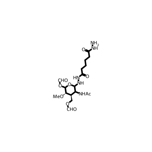 CO[C@@H]1C(OC=O)OC(NNC(=O)CCCCC(=O)NN)C(NC(C)=O)[C@H]1COC=O